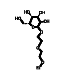 CCOCCOCCOC1O[C@H](CO)[C@H](O)[C@H](O)[C@H]1O